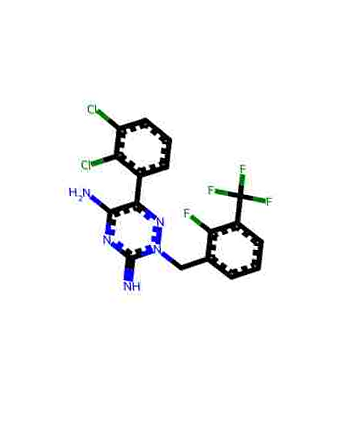 N=c1nc(N)c(-c2cccc(Cl)c2Cl)nn1Cc1cccc(C(F)(F)F)c1F